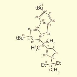 CCC(C)(CC)C1=CCC(C(C)(C)c2cc(C(C)(C)C)cc3c2Cc2ccc(C(C)(C)C)cc2-3)=C1